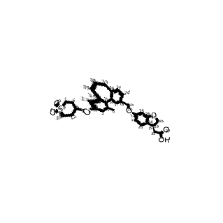 Cc1cc(OC2CCS(=O)(=O)CC2)cc2c1-c1cc(COc3ccc4c(c3)OC[C@H]4CC(=O)O)ccc1CCC2